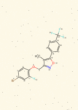 Cc1c(COc2ccc(Br)cc2F)noc1-c1ccc(C(F)(F)F)cc1